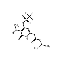 CC(=O)c1c(OS(=O)(=O)C(F)(F)F)cc(CC(=O)OC(C)C)[nH]c1=O